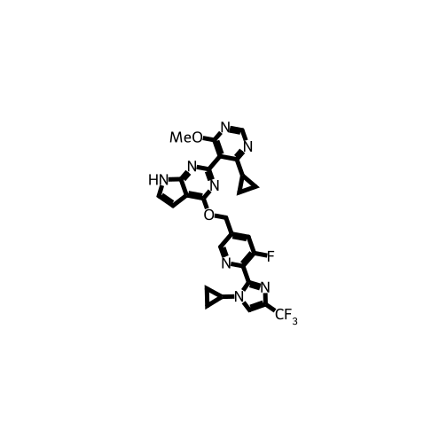 COc1ncnc(C2CC2)c1-c1nc(OCc2cnc(-c3nc(C(F)(F)F)cn3C3CC3)c(F)c2)c2cc[nH]c2n1